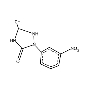 CC1NC(=O)N(c2cccc([N+](=O)[O-])c2)N1